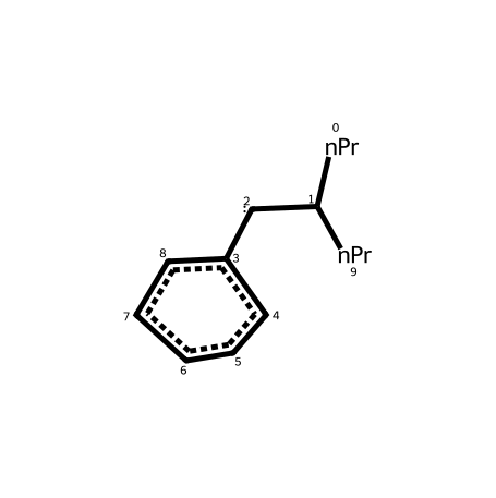 CCCC([C]c1ccccc1)CCC